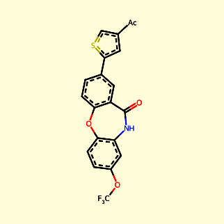 CC(=O)c1csc(-c2ccc3c(c2)C(=O)Nc2cc(OC(F)(F)F)ccc2O3)c1